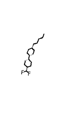 CCCCC[C@H]1CC[C@H]([C@H]2CC[C@H](C(F)F)CC2)CC1